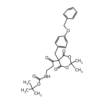 CC(C)(C)OC(=O)NCCC(=O)C1(Cc2ccc(OCc3ccccc3)cc2)C(=O)OC(C)(C)OC1=O